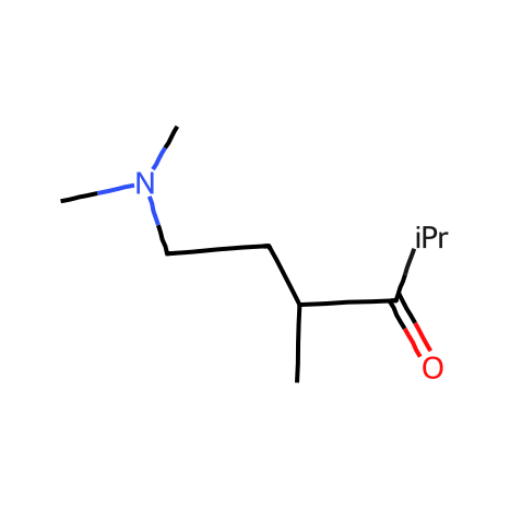 CC(C)C(=O)C(C)CCN(C)C